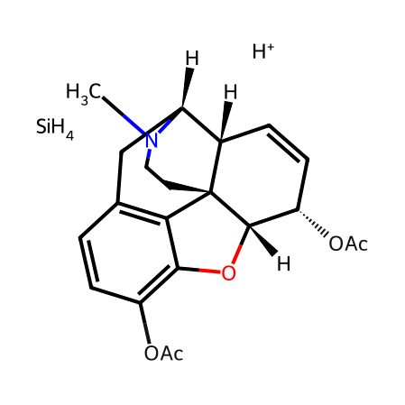 CC(=O)Oc1ccc2c3c1O[C@H]1[C@@H](OC(C)=O)C=C[C@H]4[C@@H](C2)N(C)CC[C@@]341.[H+].[SiH4]